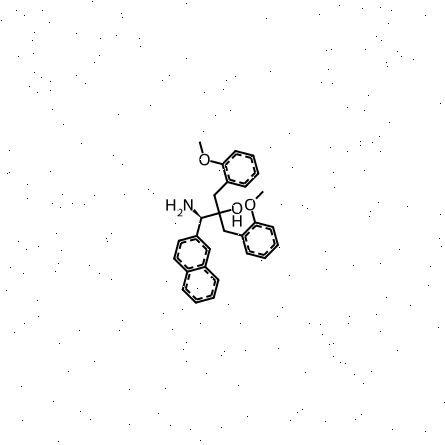 COc1ccccc1CC(O)(Cc1ccccc1OC)[C@H](N)c1ccc2ccccc2c1